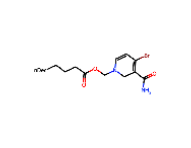 CCCCCCCCCCCCCC(=O)OCN1C=CC(Br)=C(C(N)=O)C1